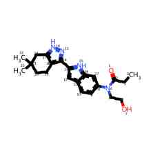 CCC(=O)N(CCO)c1ccc2cc(-c3n[nH]c4c3CCC(C)(C)C4)[nH]c2c1